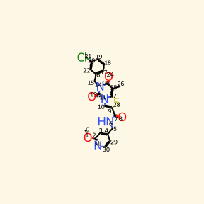 COc1cc(CNC(=O)c2cn3c(=O)n(Cc4cccc(Cl)c4)c(=O)c(C)c3s2)ccn1